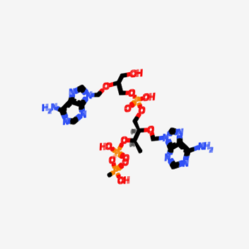 C[C@@H](OP(=O)(O)OP(C)(=O)O)[C@@H](COP(=O)(O)OCC(CO)OCn1cnc2c(N)ncnc21)OCn1cnc2c(N)ncnc21